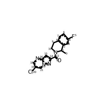 CC1c2cc(F)ccc2CCN1C(=O)c1cc2ncc(Cl)cn2n1